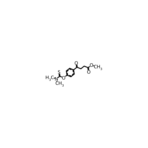 COC(=O)CCC(=O)c1ccc(OC(=S)N(C)C)cc1